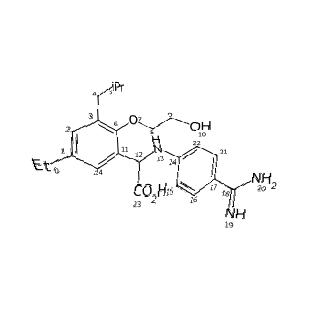 CCc1cc(CC(C)C)c(OCCO)c(C(Nc2ccc(C(=N)N)cc2)C(=O)O)c1